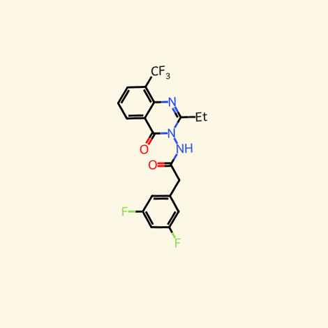 CCc1nc2c(C(F)(F)F)cccc2c(=O)n1NC(=O)Cc1cc(F)cc(F)c1